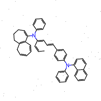 C\C=C/C(=C\C=C\c1ccc(N(c2ccccc2)c2cccc3ccccc23)cc1)N(C1=CCCCC2=C1C=CC=CC2)c1ccccc1